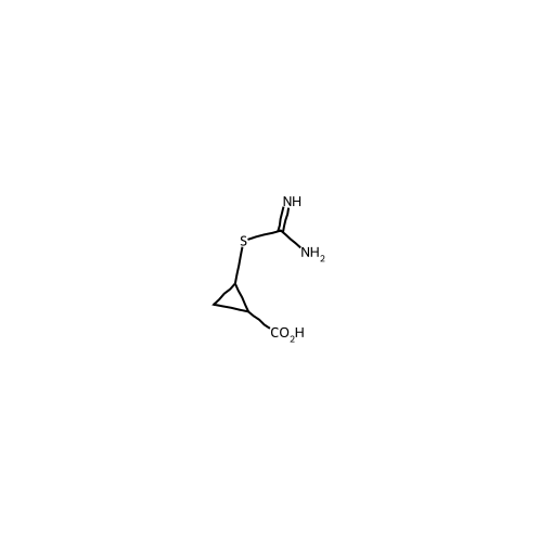 N=C(N)SC1CC1C(=O)O